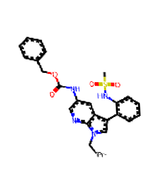 C[C](C)Cn1cc(-c2ccccc2NS(C)(=O)=O)c2cc(NC(=O)OCc3ccccc3)cnc21